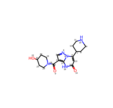 O=C(c1cnn2c(C3CCNCC3)cc(=O)[nH]c12)N1CCC(O)CC1